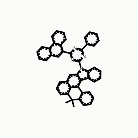 CC1(C)c2ccccc2-c2c3c1cccc3cc1c2c2ccccc2n1-c1nc(-c2ccccc2)nc(-c2cc3ccccc3c3ccccc23)n1